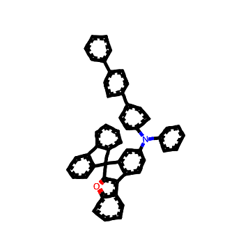 c1ccc(-c2ccc(-c3ccc(N(c4ccccc4)c4ccc5c(c4)C4(c6ccccc6-c6ccccc64)c4oc6ccccc6c4-5)cc3)cc2)cc1